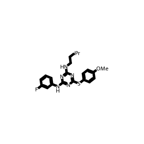 COc1ccc(Sc2nc(NCCC(C)C)nc(Nc3cccc(F)c3)n2)cc1